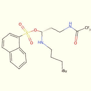 CCC(C)CCCN[C@@H](CCNC(=O)C(F)(F)F)OS(=O)(=O)c1cccc2ccccc12